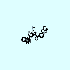 O=C(c1cccc(OC(F)(F)F)c1)c1c[nH]c2ncc(-n3nnc4ccccc43)cc12